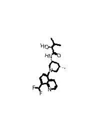 CC(C)[C@H](O)C(=O)N[C@@H]1C[C@H](C)CN(c2ccc(C(F)F)c3ncccc23)C1